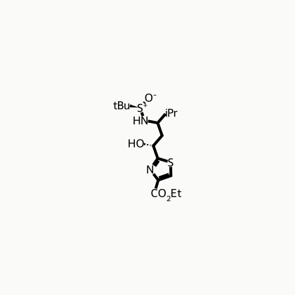 CCOC(=O)c1csc([C@H](O)CC(N[S@+]([O-])C(C)(C)C)C(C)C)n1